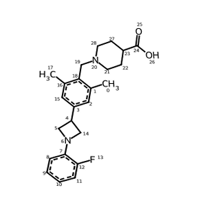 Cc1cc(C2CN(c3ccccc3F)C2)cc(C)c1CN1CCC(C(=O)O)CC1